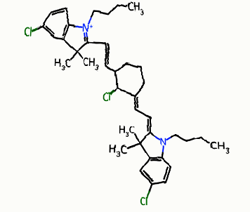 CCCCN1/C(=C/C=C2\CCCC(/C=C/C3=[N+](CCCC)c4ccc(Cl)cc4C3(C)C)[C@@H]2Cl)C(C)(C)c2cc(Cl)ccc21